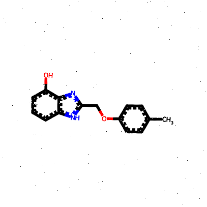 Cc1ccc(OCc2nc3c(O)cccc3[nH]2)cc1